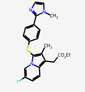 CCOC(=O)Cc1c(C)c(Sc2ccc(-c3nccn3C)cc2)n2cc(F)ccc12